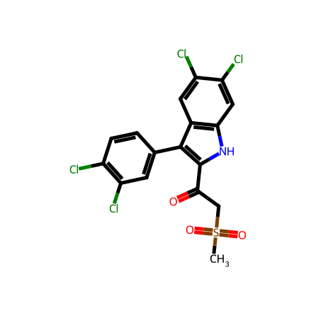 CS(=O)(=O)CC(=O)c1[nH]c2cc(Cl)c(Cl)cc2c1-c1ccc(Cl)c(Cl)c1